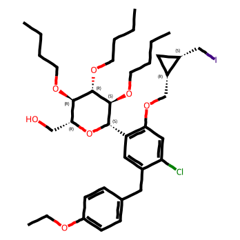 CCCCO[C@@H]1[C@@H](OCCCC)[C@H](c2cc(Cc3ccc(OCC)cc3)c(Cl)cc2OC[C@@H]2C[C@@H]2CI)O[C@H](CO)[C@H]1OCCCC